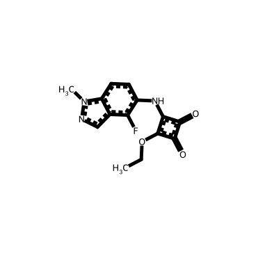 CCOc1c(Nc2ccc3c(cnn3C)c2F)c(=O)c1=O